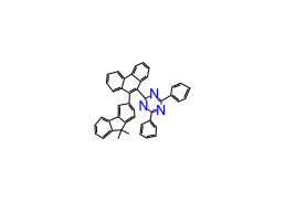 CC1(C)c2ccccc2-c2cc(-c3c(-c4nc(-c5ccccc5)nc(-c5ccccc5)n4)c4ccccc4c4ccccc34)ccc21